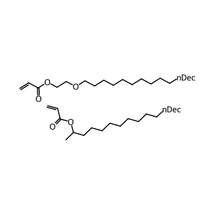 C=CC(=O)OC(C)CCCCCCCCCCCCCCCCCCC.C=CC(=O)OCCOCCCCCCCCCCCCCCCCCCCC